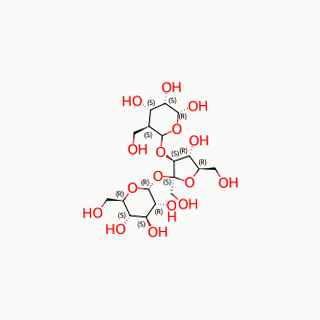 OC[C@@H]1C(O[C@H]2[C@H](O)[C@@H](CO)O[C@@]2(CO)O[C@H]2O[C@H](CO)[C@@H](O)[C@H](O)[C@H]2O)O[C@@H](O)[C@@H](O)[C@H]1O